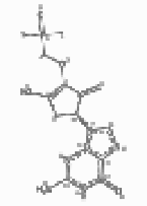 C=C1C(OCP(C)(C)=O)=C(O)C[C@@H]1n1cnc2c(=O)[nH]c(N)nc21